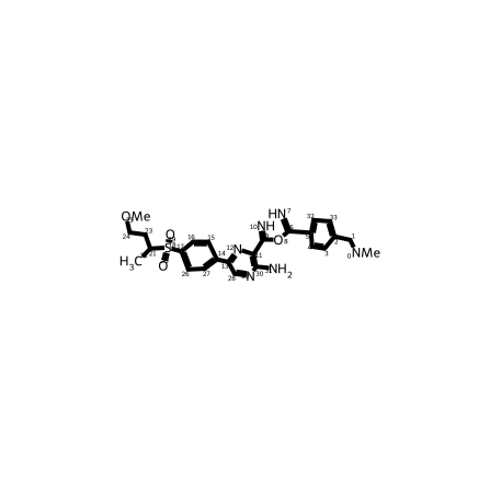 CNCc1ccc(C(=N)OC(=N)c2nc(-c3ccc(S(=O)(=O)C(C)CCOC)cc3)cnc2N)cc1